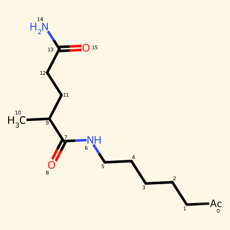 CC(=O)CCCCCNC(=O)C(C)CCC(N)=O